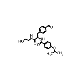 CC(C)Oc1ccc(C(=O)N/C(=C\c2ccc(C=O)cc2)C(=O)NCCO)cc1